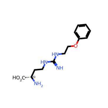 N=C(NCCOc1ccccc1)NCC[C@H](N)C(=O)O